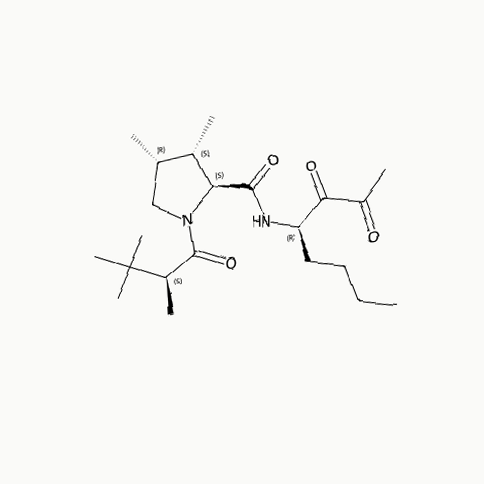 CCCC[C@@H](NC(=O)[C@@H]1[C@@H](C)[C@@H](C)CN1C(=O)[C@@H](C)C(C)(C)C)C(=O)C(C)=O